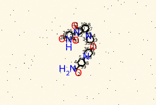 NC(=O)c1ccc(N2CCC(OC3CCN(c4cccc5c4CN(C4CCC(=O)NC4=O)C5=O)CC3)CC2)cc1